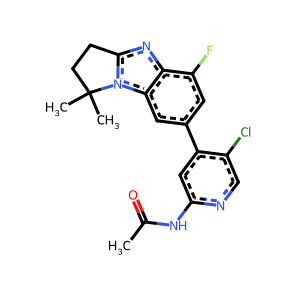 CC(=O)Nc1cc(-c2cc(F)c3nc4n(c3c2)C(C)(C)CC4)c(Cl)cn1